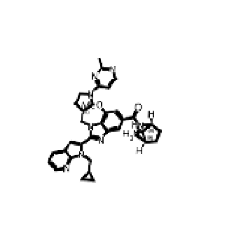 COc1cc(C(=O)N2C[C@H]3CC[C@@H]2[C@@H]3N)cc2nc(-c3cc4cccnc4n3CC3CC3)n(C[C@H]3CCN(c4ccnc(C)n4)C3)c12